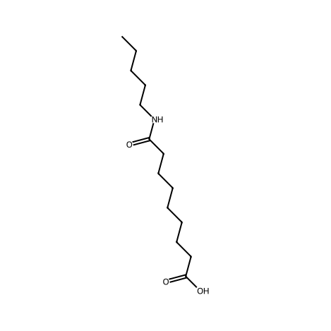 CCCCCNC(=O)CCCCCCCC(=O)O